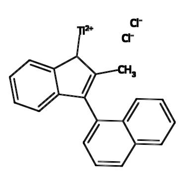 CC1=C(c2cccc3ccccc23)c2ccccc2[CH]1[Ti+2].[Cl-].[Cl-]